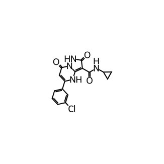 O=C(NC1CC1)c1c(=O)[nH]n2c(=O)cc(-c3cccc(Cl)c3)[nH]c12